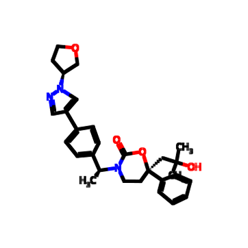 C[C@@H](c1ccc(-c2cnn([C@H]3CCOC3)c2)cc1)N1CC[C@](CC(C)(C)O)(c2ccccc2)OC1=O